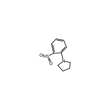 O=[SH](=O)c1ccccc1N1CCCC1